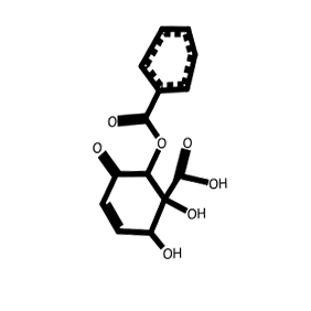 O=C(OC1C(=O)C=CC(O)C1(O)C(=O)O)c1ccccc1